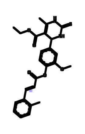 CCOC(=O)C1=C(C)NC(=S)NC1c1ccc(OC(=O)/C=C/c2ccccc2C)c(OC)c1